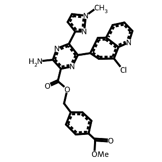 COC(=O)c1ccc(COC(=O)c2nc(-c3cc(Cl)c4ncccc4c3)c(-c3ccn(C)n3)nc2N)cc1